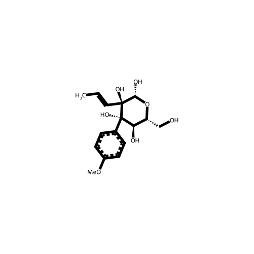 CC=C[C@]1(O)[C@H](O)O[C@H](CO)[C@@H](O)[C@@]1(O)c1ccc(OC)cc1